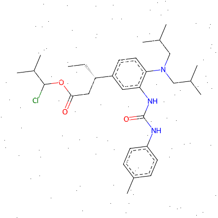 CC[C@@H](CC(=O)OC(Cl)C(C)C)c1ccc(N(CC(C)C)CC(C)C)c(NC(=O)Nc2ccc(C)cc2)c1